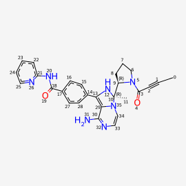 CC#CC(=O)N1CCC[C@@H]1[C@]1(C)NC(c2ccc(C(=O)Nc3ccccn3)cc2)=C2C(N)=NC=CN21